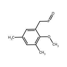 COc1c(C)cc(C)cc1CP=O